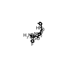 Cc1cccc(CNC(=O)COc2ccc(C(=O)c3sc(N(c4ccc(F)cc4)[C@H](C)C(N)=O)nc3N)cc2)c1